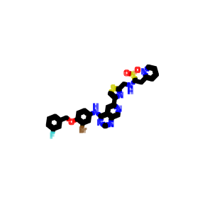 O=S(=O)=C(Cc1ccccn1)NCc1nc(-c2cc3c(Nc4ccc(OCc5cccc(F)c5)c(Br)c4)ncnc3cn2)cs1